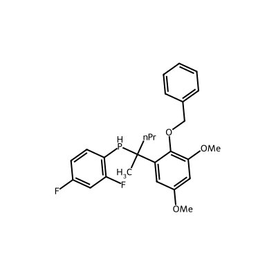 CCCC(C)(Pc1ccc(F)cc1F)c1cc(OC)cc(OC)c1OCc1ccccc1